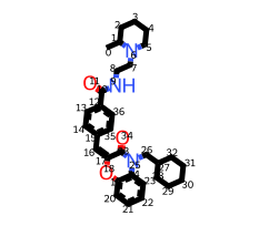 CC1CCCCN1CCNC(=O)c1ccc(C=C2Oc3ccccc3N(CC3CCCCC3)C2=O)cc1